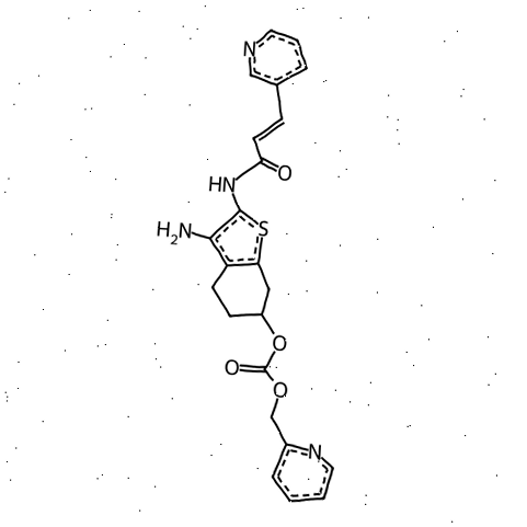 Nc1c(NC(=O)/C=C/c2cccnc2)sc2c1CCC(OC(=O)OCc1ccccn1)C2